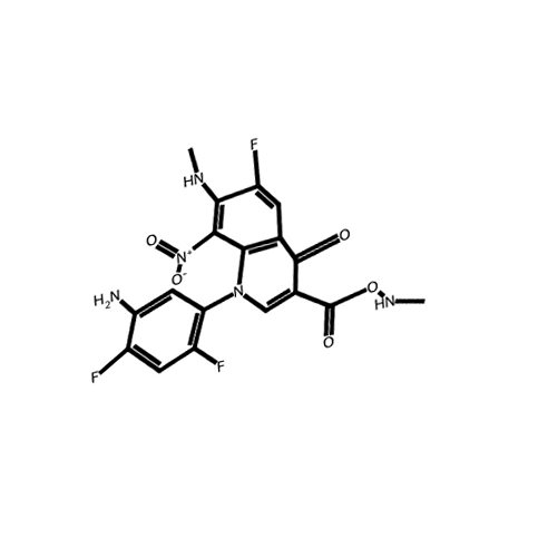 CNOC(=O)c1cn(-c2cc(N)c(F)cc2F)c2c([N+](=O)[O-])c(NC)c(F)cc2c1=O